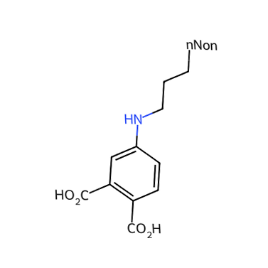 CCCCCCCCCCCCNc1ccc(C(=O)O)c(C(=O)O)c1